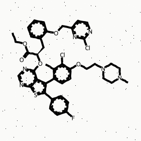 CCOC(=O)[C@@H](Cc1ccccc1OCc1ccnc(Cl)n1)Oc1ncnc2sc(-c3ccc(F)cc3)c(-c3ccc(OCCN4CCN(C)CC4)c(Cl)c3C)c12